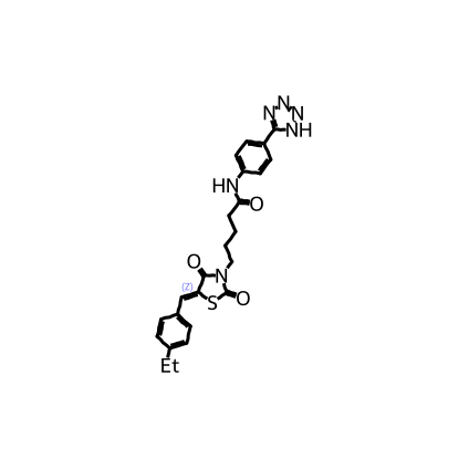 CCc1ccc(/C=C2\SC(=O)N(CCCCC(=O)Nc3ccc(-c4nnn[nH]4)cc3)C2=O)cc1